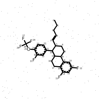 CCCC=CC1CCC2c3cc(F)cc(F)c3CCC2C1c1ccc(OC(F)(F)F)c(F)c1